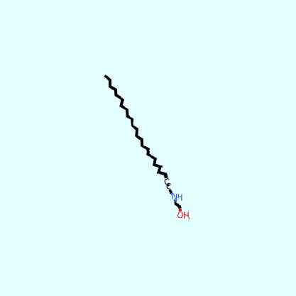 CCCCCCCCCCCCCCCCCCCCCCCCCNCCO